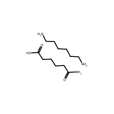 NC(=O)CCCCC(=O)O.NCCCCCCN